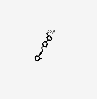 Cc1ccccc1C#CCOc1ccc(-c2cccc(CC(=O)O)c2)cc1